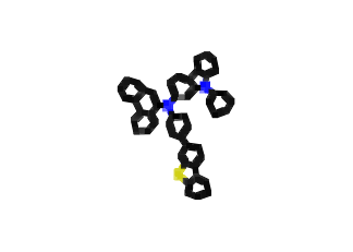 c1ccc(-n2c3ccccc3c3ccc(N(c4ccc(-c5ccc6c(c5)sc5ccccc56)cc4)c4cc5ccccc5c5ccccc45)cc32)cc1